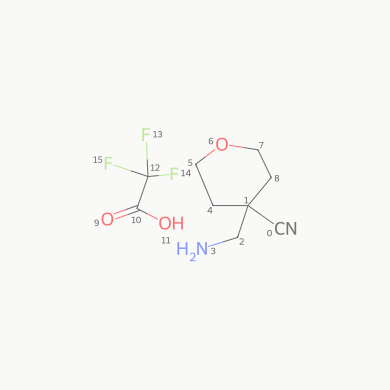 N#CC1(CN)CCOCC1.O=C(O)C(F)(F)F